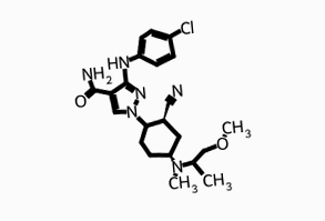 COCC(C)N(C)[C@H]1CCC(n2cc(C(N)=O)c(Nc3ccc(Cl)cc3)n2)[C@@H](C#N)C1